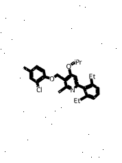 CCc1cccc(CC)c1-c1cc(OC(C)C)c(COc2ccc(C)cc2Cl)c(C)n1